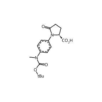 CN(C(=O)OC(C)(C)C)c1ccc(N2C(=O)CC[C@H]2C(=O)O)cc1